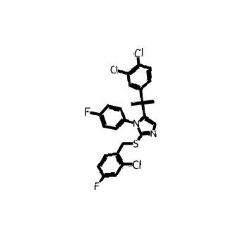 CC(C)(c1ccc(Cl)c(Cl)c1)c1cnc(SCc2ccc(F)cc2Cl)n1-c1ccc(F)cc1